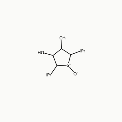 CC(C)C1C(O)C(O)C(C(C)C)[S+]1[O-]